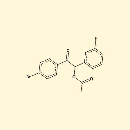 CC(=O)OC(C(=O)c1ccc(Br)cc1)c1cccc(F)c1